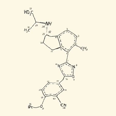 Cc1ccc2c(c1-c1noc(-c3ccc(OC(C)C)c(C#N)c3)n1)CC[C@@H]2NC(C)C(=O)O